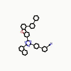 N#Cc1cccc(-c2ccc(-c3nc(-c4ccc5c(c4)oc4cccc(-c6cccc(-c7ccccc7)c6)c45)nc(-c4cccc5ccccc45)n3)cc2)c1